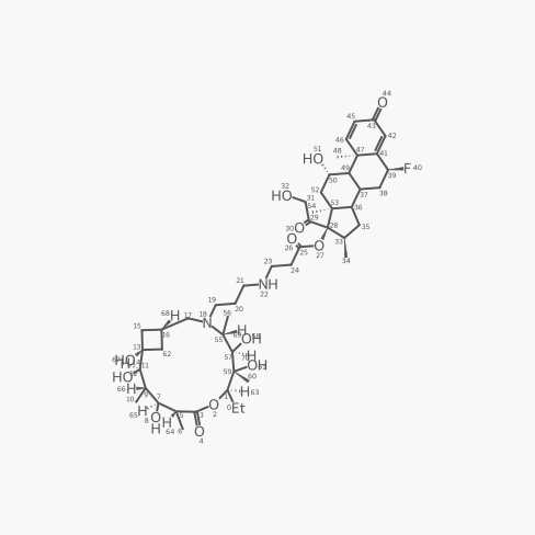 CC[C@H]1OC(=O)[C@H](C)[C@@H](O)[C@H](C)[C@@H](O)[C@]2(O)C[C@H](CN(CCCNCCC(=O)O[C@]3(C(=O)CO)[C@H](C)CC4C5C[C@H](F)C6=CC(=O)C=C[C@]6(C)C5[C@@H](O)C[C@@]43C)[C@H](C)[C@@H](O)[C@]1(C)O)C2